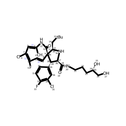 C\C1=C/C(Cl)=C(F)\C=C\[C@]2(C(=O)N1)[C@@H](CC(C)(C)C)N[C@@H](C(=O)NCCC[C@H](O)CO)[C@@H]2c1ccc(F)c(Cl)c1